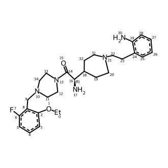 CCOc1cccc(F)c1CN1CCN(C(=O)[C@H](N)C2CCN(CCc3ccccc3N)CC2)CC1